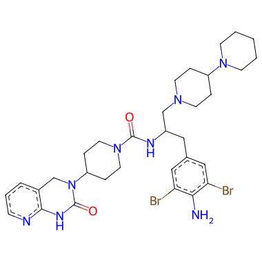 Nc1c(Br)cc(CC(CN2CCC(N3CCCCC3)CC2)NC(=O)N2CCC(N3Cc4cccnc4NC3=O)CC2)cc1Br